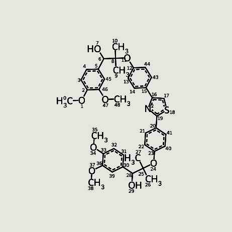 COc1ccc(C(O)C(C)(C)Oc2ccc(-c3csc(-c4ccc(OC(C)(C)C(O)c5ccc(OC)c(OC)c5)cc4)n3)cc2)cc1OC